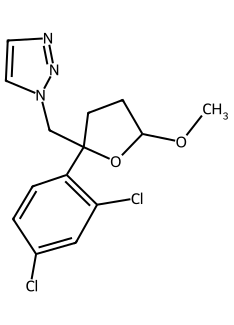 COC1CCC(Cn2ccnn2)(c2ccc(Cl)cc2Cl)O1